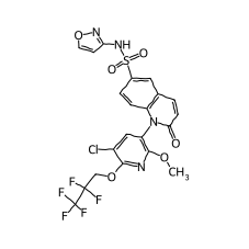 COc1nc(OCC(F)(F)C(F)(F)F)c(Cl)cc1-n1c(=O)ccc2cc(S(=O)(=O)Nc3ccon3)ccc21